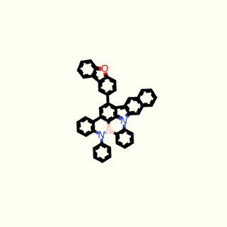 c1ccc(N2B3c4ccccc4-n4c5cc6ccccc6cc5c5c(-c6ccc7oc8ccccc8c7c6)cc(c3c54)-c3ccccc32)cc1